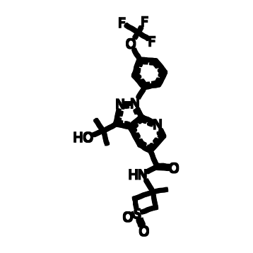 CC1(NC(=O)c2cnc3c(c2)c(C(C)(C)O)nn3-c2cccc(OC(F)(F)F)c2)CS(=O)(=O)C1